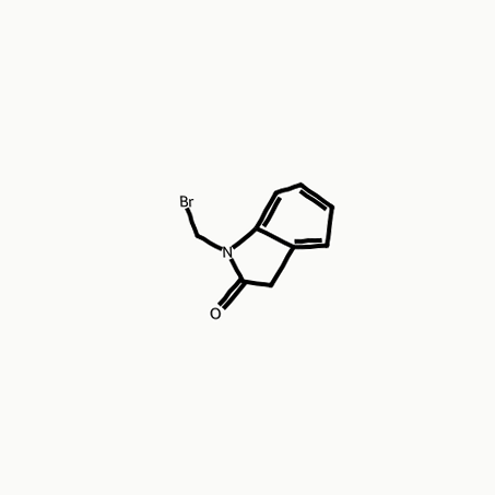 O=C1Cc2ccccc2N1CBr